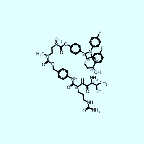 CC(C)[C@H](N)C(=O)N[C@@H](CCCNC(N)=O)C(=O)Nc1ccc(COC(=O)N(C)CCN(C)C(=O)Oc2ccc([C@@H]3[C@@H](CC[C@H](O)c4ccc(F)cc4)C(=O)N3c3ccc(F)cc3)cc2)cc1